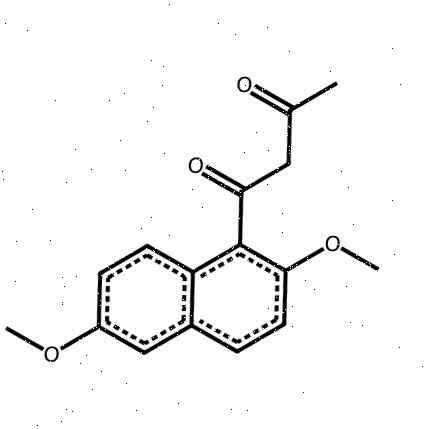 COc1ccc2c(C(=O)CC(C)=O)c(OC)ccc2c1